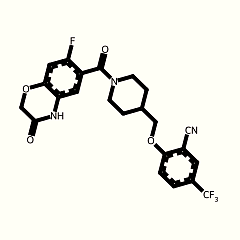 N#Cc1cc(C(F)(F)F)ccc1OCC1CCN(C(=O)c2cc3c(cc2F)OCC(=O)N3)CC1